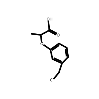 CC(Oc1cccc(CCl)c1)C(=O)O